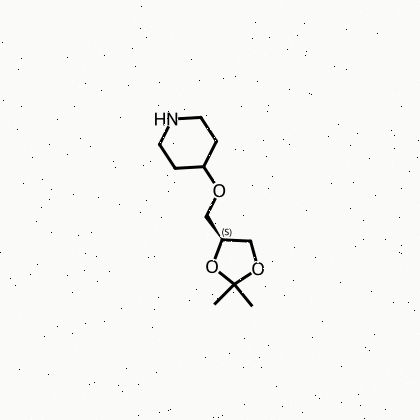 CC1(C)OC[C@H](COC2CCNCC2)O1